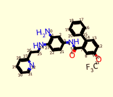 Nc1cc(NC(=O)c2cc(OC(F)(F)F)ccc2-c2ccccc2)ccc1NCCc1ccccn1